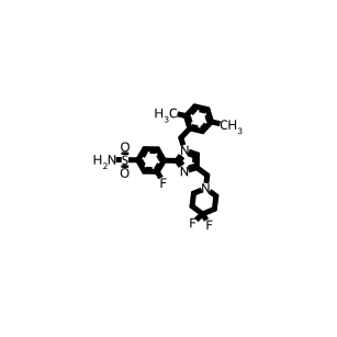 Cc1ccc(C)c(Cn2cc(CN3CCC(F)(F)CC3)nc2-c2ccc(S(N)(=O)=O)cc2F)c1